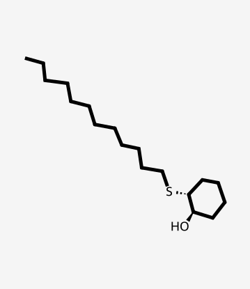 CCCCCCCCCCCCS[C@@H]1CCCC[C@H]1O